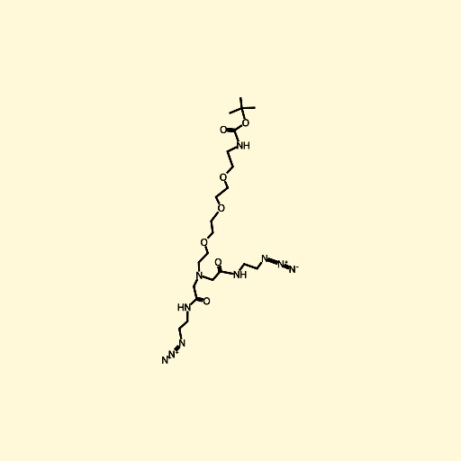 CC(C)(C)OC(=O)NCCOCCOCCOCCN(CC(=O)NCCN=[N+]=[N-])CC(=O)NCCN=[N+]=[N-]